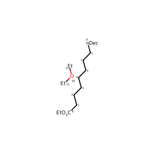 CCCCCCCCCCCCCCCCCC(=O)OCC.CCOCC